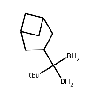 BC(B)(C1CC2CC(C2)C1)C(C)(C)C